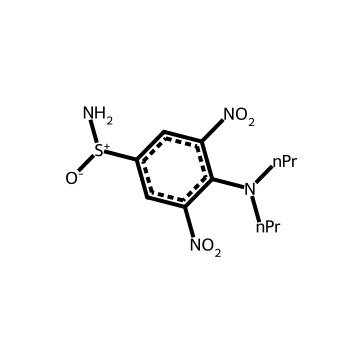 CCCN(CCC)c1c([N+](=O)[O-])cc([S+](N)[O-])cc1[N+](=O)[O-]